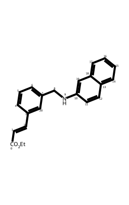 CCOC(=O)/C=C/c1cccc(CNc2ccc3ccccc3c2)c1